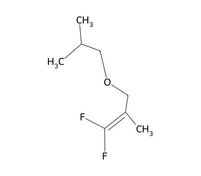 CC(COCC(C)C)=C(F)F